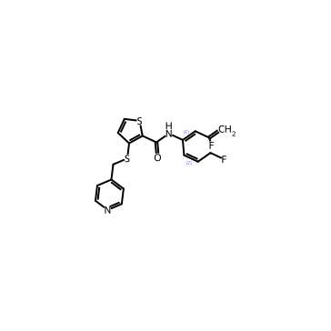 C=C(F)/C=C(\C=C/CF)NC(=O)c1sccc1SCc1ccncc1